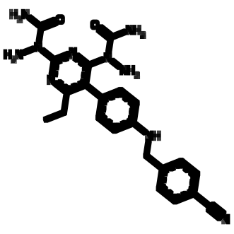 CCc1nc(N(N)C(N)=O)nc(N(N)C(N)=O)c1-c1ccc(NCc2ccc(C#N)cc2)cc1